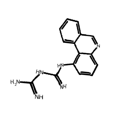 N=C(N)NC(=N)Nc1cccc2ncc3ccccc3c12